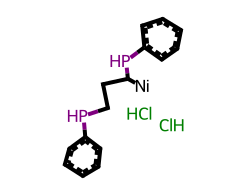 Cl.Cl.[Ni][CH](CCPc1ccccc1)Pc1ccccc1